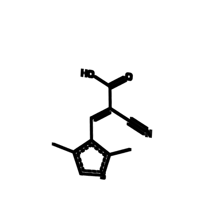 Cc1csc(C)c1C=C(C#N)C(=O)O